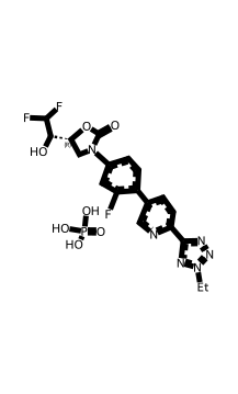 CCn1nnc(-c2ccc(-c3ccc(N4C[C@H](C(O)C(F)F)OC4=O)cc3F)cn2)n1.O=P(O)(O)O